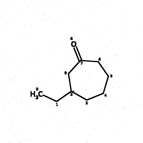 CC[C]1CCCCC(=O)C1